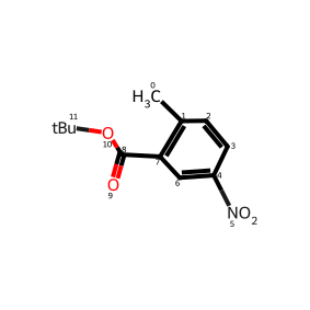 Cc1ccc([N+](=O)[O-])cc1C(=O)OC(C)(C)C